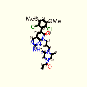 C=CC(=O)N1CC(C)N(CCCn2c(=O)c(-c3c(Cl)c(OC)cc(OC)c3Cl)cc3cnc(N)nc32)C(C)C1